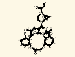 C=CC(=O)N1CCN(c2nc(=O)n3c4nc(c(Cl)cc24)-c2c(F)cccc2NC(=O)COc2ccnc(C(C)C)c2-3)C2C[C@H]21